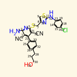 N#Cc1c(N)nc(SCc2csc(Nc3ccc(Cl)cc3)n2)c(C#N)c1-c1ccc(CCCO)cc1